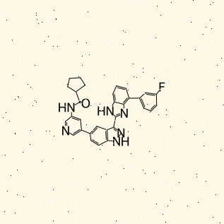 O=C(Nc1cncc(-c2ccc3[nH]nc(-c4nc5c(-c6cccc(F)c6)cccc5[nH]4)c3c2)c1)C1CCCC1